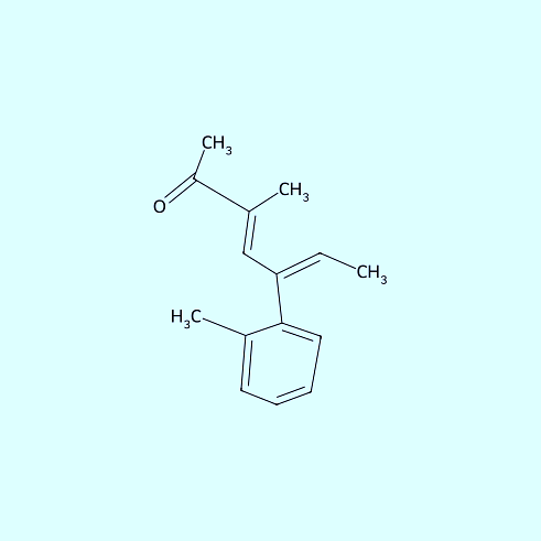 C/C=C(/C=C(\C)C(C)=O)c1ccccc1C